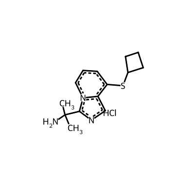 CC(C)(N)c1ncc2c(SC3CCC3)cccn12.Cl